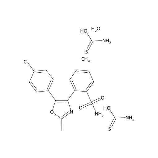 C.Cc1nc(-c2ccccc2S(N)(=O)=O)c(-c2ccc(Cl)cc2)o1.NC(O)=S.NC(O)=S.O